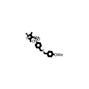 COc1ccc(CSCc2ccc(S(=O)(=O)Nc3c(C)nn(C)c3C)cc2)cc1